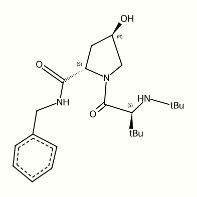 CC(C)(C)N[C@H](C(=O)N1C[C@H](O)C[C@H]1C(=O)NCc1ccccc1)C(C)(C)C